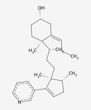 CC/C=C1/C[C@@H](O)CC[C@]1(C)[C@H](C)CC[C@]1(C)C(c2cccnc2)=CC[C@H]1C